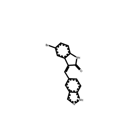 O=C1Nc2ccc(Br)cc2C1=Cc1ccc2[nH]ncc2c1